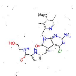 COc1c(C)cnc(CN2C(=O)/C(=C\c3ccc(C(=O)NCCO)[nH]3)c3c(Cl)nc(N)nc32)c1C